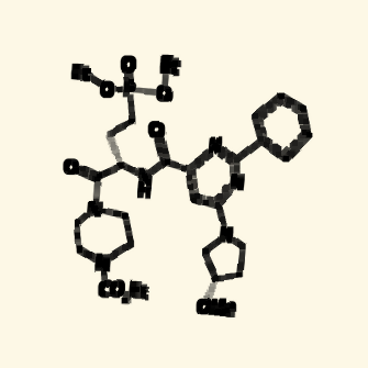 CCOC(=O)N1CCN(C(=O)[C@H](CCP(=O)(OCC)OCC)NC(=O)c2cc(N3CC[C@H](OC)C3)nc(-c3ccccc3)n2)CC1